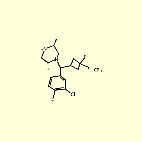 C[C@@H]1CN[C@@H](C)CN1C(c1ccc(F)c(Cl)c1)C1CC(F)(F)C1.Cl